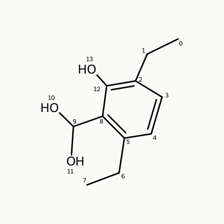 CCc1ccc(CC)c(C(O)O)c1O